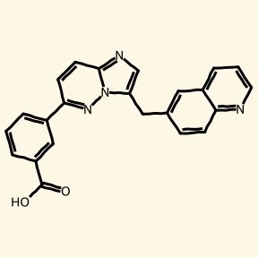 O=C(O)c1cccc(-c2ccc3ncc(Cc4ccc5ncccc5c4)n3n2)c1